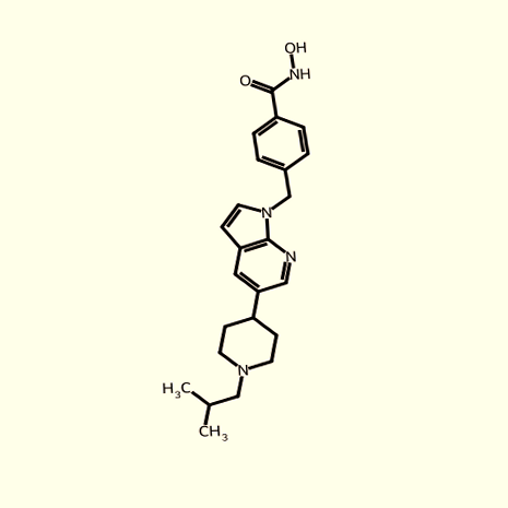 CC(C)CN1CCC(c2cnc3c(ccn3Cc3ccc(C(=O)NO)cc3)c2)CC1